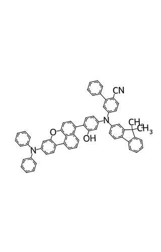 CC1(C)c2ccccc2-c2ccc(N(c3ccc(-c4ccc5c6c(cccc46)-c4ccc(N(c6ccccc6)c6ccccc6)cc4O5)c(O)c3)c3ccc(C#N)c(-c4ccccc4)c3)cc21